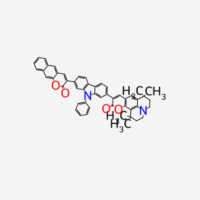 CC1(C)CCN2CCC(C)(C)c3c2c1cc1cc(-c2ccc4c5ccc(-c6cc7cc8ccccc8cc7oc6=O)cc5n(-c5ccccc5)c4c2)c(=O)oc31